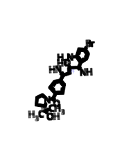 CC(C)(O)[C@@H]1CCCN1C(=O)c1ccc(C(=N)/C=C(\O)C(=N)c2ccc(Br)cc2N)cc1